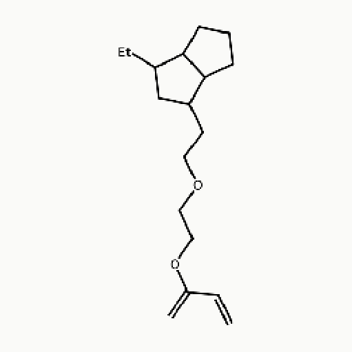 C=CC(=C)OCCOCCC1CC(CC)C2CCCC12